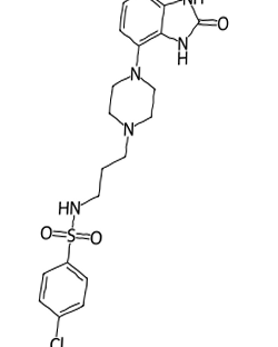 O=c1[nH]c2cccc(N3CCN(CCCNS(=O)(=O)c4ccc(Cl)cc4)CC3)c2[nH]1